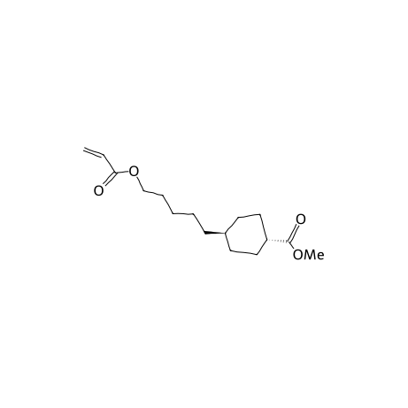 C=CC(=O)OCCCCC[C@H]1CC[C@H](C(=O)OC)CC1